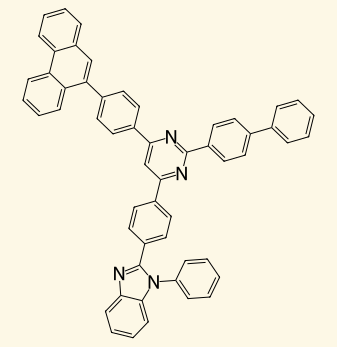 c1ccc(-c2ccc(-c3nc(-c4ccc(-c5cc6ccccc6c6ccccc56)cc4)cc(-c4ccc(-c5nc6ccccc6n5-c5ccccc5)cc4)n3)cc2)cc1